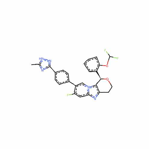 Cc1nc(-c2ccc(-c3cn4c5c(nc4cc3F)CCO[C@@H]5c3ccccc3OC(F)F)cc2)n[nH]1